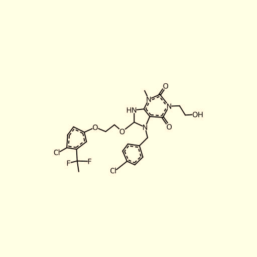 Cn1c2c(c(=O)n(CCO)c1=O)N(Cc1ccc(Cl)cc1)C(OCCOc1ccc(Cl)c(C(C)(F)F)c1)N2